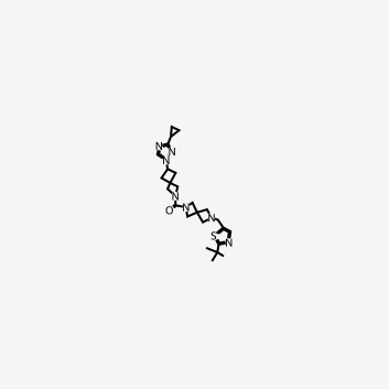 CC(C)(C)c1ncc(CN2CC3(C2)CN(C(=O)N2CC4(CC(n5cnc(C6CC6)n5)C4)C2)C3)s1